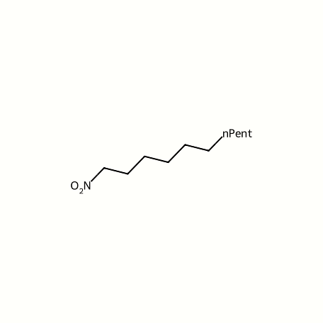 [CH2]CCCCCCCCCC[N+](=O)[O-]